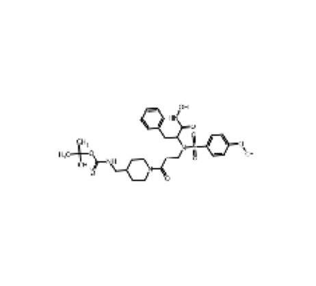 COc1ccc(S(=O)(=O)N(CCC(=O)N2CCC(CNC(=O)OC(C)(C)C)CC2)C(Cc2ccccc2)C(=O)NO)cc1